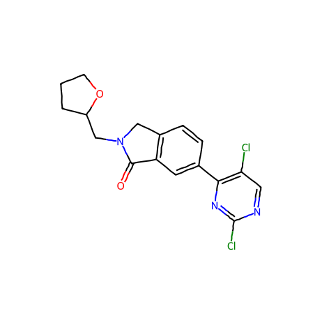 O=C1c2cc(-c3nc(Cl)ncc3Cl)ccc2CN1CC1CCCO1